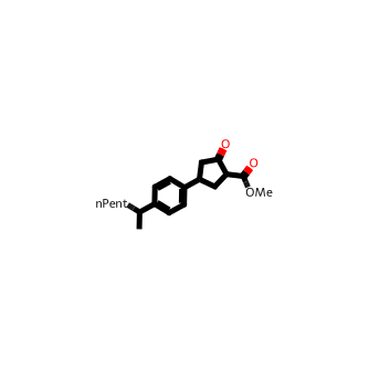 CCCCCC(C)c1ccc(C2CC(=O)C(C(=O)OC)C2)cc1